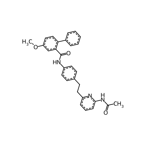 COc1ccc(-c2ccccc2)c(C(=O)Nc2ccc(CCc3cccc(NC(C)=O)n3)cc2)c1